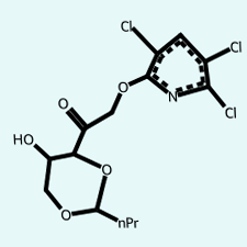 CCCC1OCC(O)C(C(=O)COc2nc(Cl)c(Cl)cc2Cl)O1